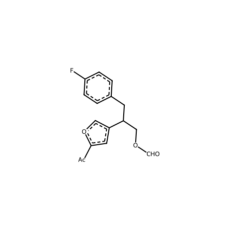 CC(=O)c1cc(C(COC=O)Cc2ccc(F)cc2)co1